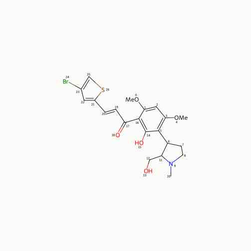 COc1cc(OC)c(C2CCN(C)C2CO)c(O)c1C(=O)C=Cc1cc(Br)cs1